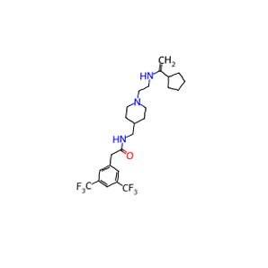 C=C(NCCN1CCC(CNC(=O)Cc2cc(C(F)(F)F)cc(C(F)(F)F)c2)CC1)C1CCCC1